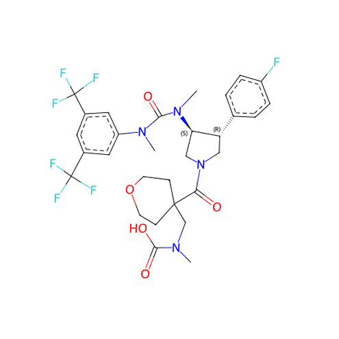 CN(CC1(C(=O)N2C[C@@H](N(C)C(=O)N(C)c3cc(C(F)(F)F)cc(C(F)(F)F)c3)[C@H](c3ccc(F)cc3)C2)CCOCC1)C(=O)O